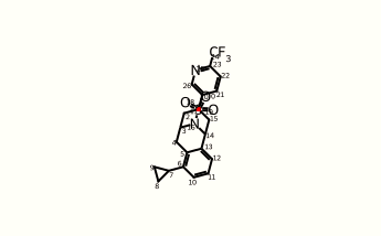 O=C1CC2Cc3c(C4CC4)cccc3C(C1)N2S(=O)(=O)c1ccc(C(F)(F)F)nc1